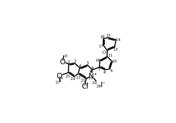 COc1cc2cc(-c3cccc(-c4ccccc4)c3)[n+](C)c(Cl)c2cc1OC.[I-]